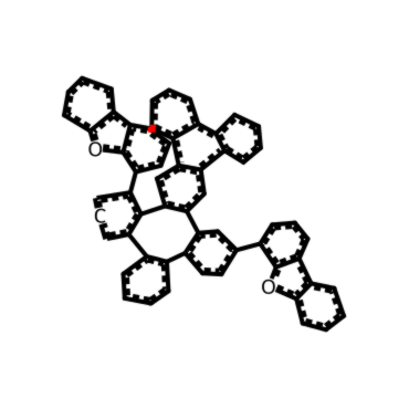 c1ccc2c(c1)-c1ccc(-c3cccc4c3oc3ccccc34)cc1-c1cc3c4ccccc4c4ccccc4c3cc1-c1c-2cccc1-c1cccc2c1oc1ccccc12